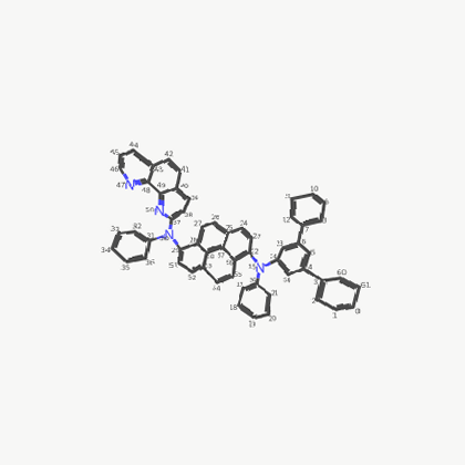 c1ccc(-c2cc(-c3ccccc3)cc(N(c3ccccc3)c3ccc4ccc5c(N(c6ccccc6)c6ccc7ccc8cccnc8c7n6)ccc6ccc3c4c65)c2)cc1